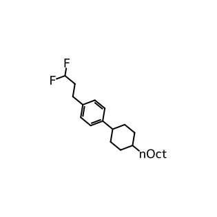 CCCCCCCCC1CCC(c2ccc(CCC(F)F)cc2)CC1